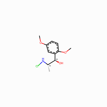 COc1ccc(OC)c([C@@H](O)[C@H](C)NCl)c1